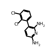 Nc1ccc(-c2cccc(Cl)c2Cl)c(N)n1